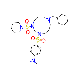 CN(C)c1ccc(S(=O)(=O)N2CCCN(CC3CCCCC3)CCCN(S(=O)(=O)N3CCCCC3)C2)cc1